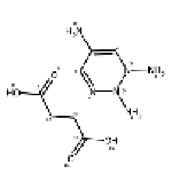 NC1=CN(N)N(N)N=C1.O=C(O)CCC(=O)O